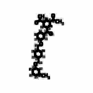 CC(=O)c1cc(C(C)=O)cc(C(=O)c2cccc(OCc3ccc(COc4cccc(C)c4)cc3)c2)c1